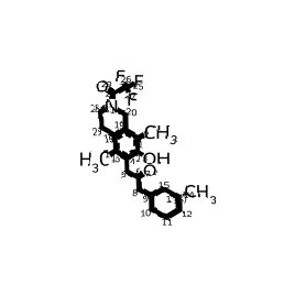 Cc1c(O)c(CC(=O)CC2CCC[C@@H](C)C2)c(C)c2c1CN(C(=O)C(F)(F)F)CC2